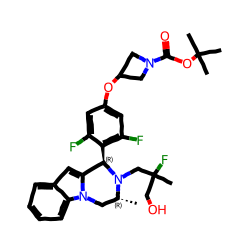 C[C@@H]1Cn2c(cc3ccccc32)[C@@H](c2c(F)cc(OC3CN(C(=O)OC(C)(C)C)C3)cc2F)N1CC(C)(F)CO